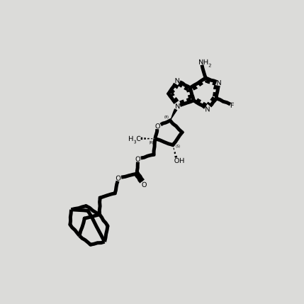 C[C@]1(COC(=O)OCCC23CC4CC(CC(C4)C2)C3)O[C@@H](n2cnc3c(N)nc(F)nc32)C[C@@H]1O